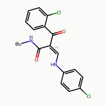 CCC(C)NC(=O)/C(=C\Nc1ccc(Cl)cc1)C(=O)c1ccccc1Cl